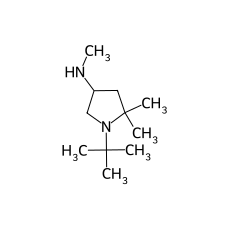 CNC1CN(C(C)(C)C)C(C)(C)C1